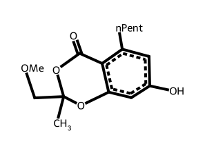 CCCCCc1cc(O)cc2c1C(=O)OC(C)(COC)O2